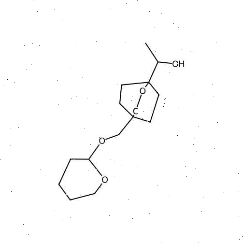 CC(O)C12CCC(COC3CCCCO3)(CC1)CO2